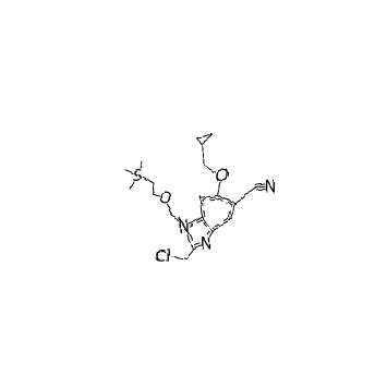 CS(C)(C)CCOCn1c(CCl)nc2cc(C#N)c(OCC3CC3)cc21